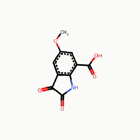 COc1cc(C(=O)O)c2c(c1)C(=O)C(=O)N2